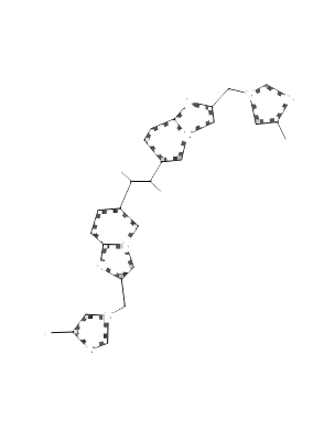 OC(c1ccc2nc(Cn3cnc(Br)c3)cn2c1)C(O)c1ccc2nc(Cn3cnc(Br)c3)cn2c1